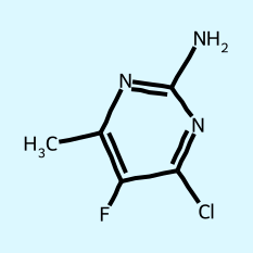 Cc1nc(N)nc(Cl)c1F